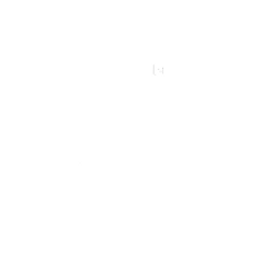 BrC1CCCCC1C1CCCCC1